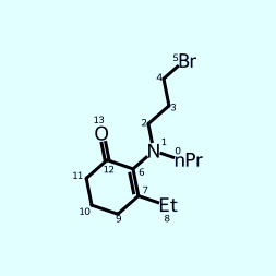 CCCN(CCCBr)C1=C(CC)CCCC1=O